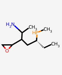 CC[C@H](CC(C(C)N)C1CO1)PC